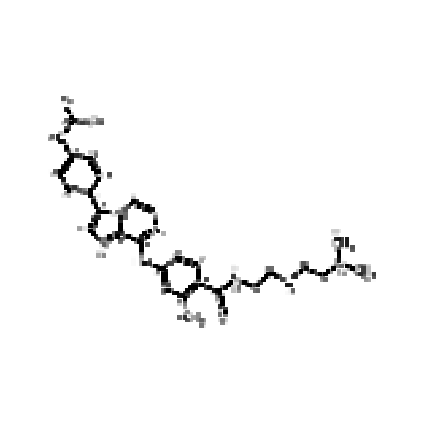 Cc1cc(Nc2nccn3c(-c4ccc(OC(F)F)cc4)cnc23)ccc1C(=O)NCCOCCN(C)C